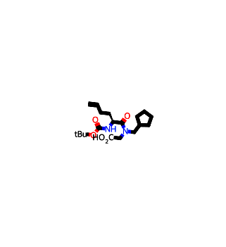 C=CCC[C@H](NC(=O)OC(C)(C)C)C(=O)N(CC(=O)O)CC1CCCC1